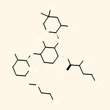 C[C@@H]1C(O)[C@@H](OC2C(O)C(O[C@H]3O[C@H](CNCCO)CCC3N)[C@@H](N)C[C@H]2NC(=N)C(O)CCN)OCC1(C)O